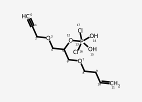 C#CCOCC(COCCC=C)OP(O)(O)(Cl)Cl